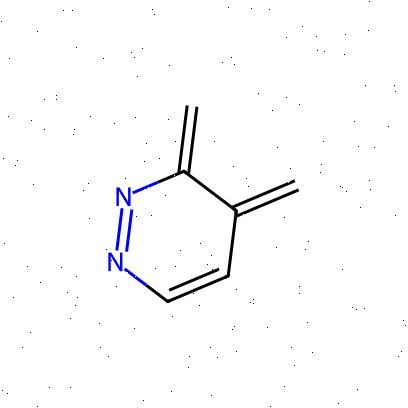 C=c1ccnnc1=C